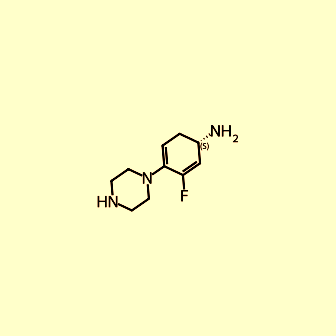 N[C@@H]1C=C(F)C(N2CCNCC2)=CC1